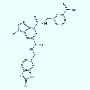 NC(=O)c1cccc(CNC(=O)c2cc(C(=O)NCc3ccc4oc(=O)[nH]c4c3)nc3c(F)cnn23)c1